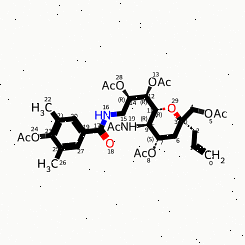 C=CC[C@]1(COC(C)=O)C[C@H](OC(C)=O)[C@@H](NC(C)=O)[C@H]([C@H](OC(C)=O)[C@@H](CNC(=O)c2cc(C)c(OC(C)=O)c(C)c2)OC(C)=O)O1